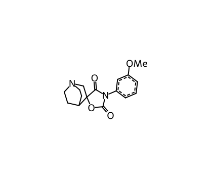 COc1cccc(N2C(=O)OC3(CN4CCC3CC4)C2=O)c1